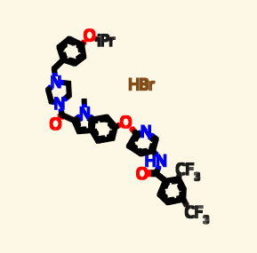 Br.CC(C)Oc1ccc(CN2CCN(C(=O)c3cc4ccc(Oc5ccc(NC(=O)c6ccc(C(F)(F)F)cc6C(F)(F)F)cn5)cc4n3C)CC2)cc1